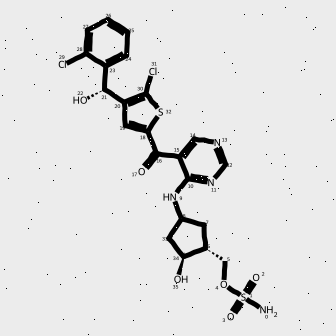 NS(=O)(=O)OC[C@H]1CC(Nc2ncncc2C(=O)c2cc([C@H](O)c3ccccc3Cl)c(Cl)s2)C[C@@H]1O